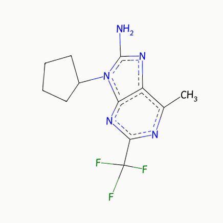 Cc1nc(C(F)(F)F)nc2c1nc(N)n2C1CCCC1